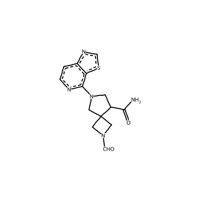 NC(=O)C1CN(c2nccc3ncsc23)CC12CN(C=O)C2